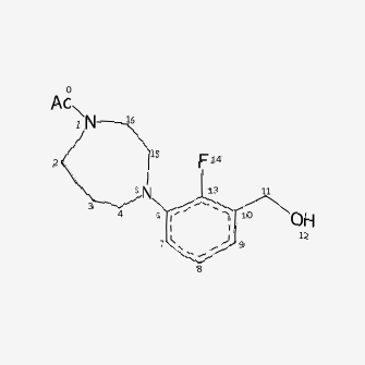 CC(=O)N1CCCN(c2cccc(CO)c2F)CC1